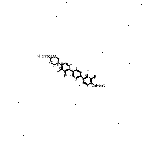 CCCCCc1ccc(-c2ccc(-c3ccc(C4COC(CCCCC)OC4)c(F)c3F)cc2)c(F)c1F